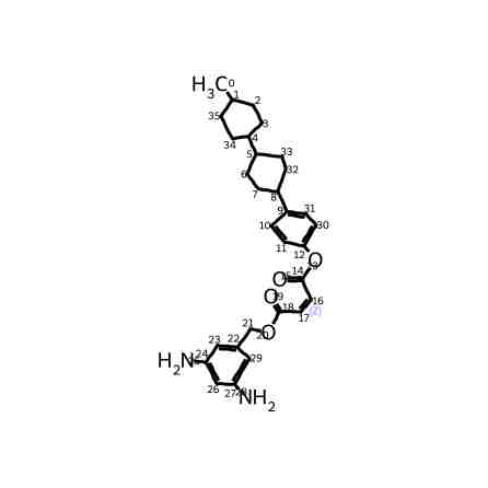 CC1CCC(C2CCC(c3ccc(OC(=O)/C=C\C(=O)OCc4cc(N)cc(N)c4)cc3)CC2)CC1